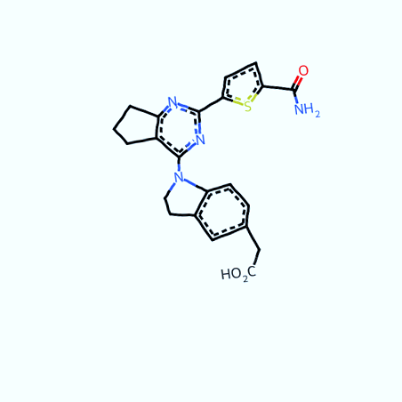 NC(=O)c1ccc(-c2nc3c(c(N4CCc5cc(CC(=O)O)ccc54)n2)CCC3)s1